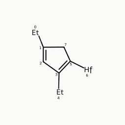 CCC1=CC(CC)=[C]([Hf])C1